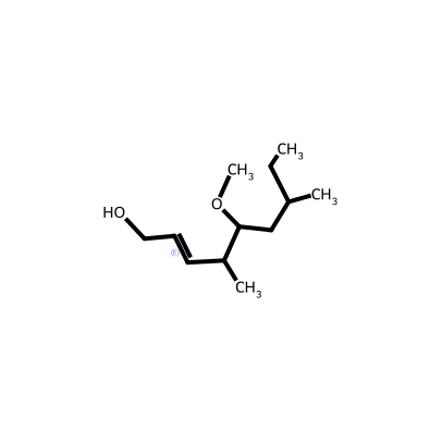 CCC(C)CC(OC)C(C)/C=C/CO